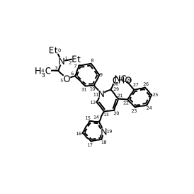 CCN(CC)C(C)Oc1cccc(N2C=C(c3ccccn3)C=C(c3ccccc3C#N)C2C=O)c1